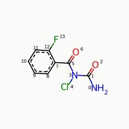 NC(=O)N(Cl)C(=O)c1ccccc1F